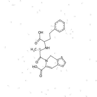 C[C@H](NC(CCc1ccccc1)C(=O)O)C(=O)N1Cc2sccc2C=C1C(=O)O